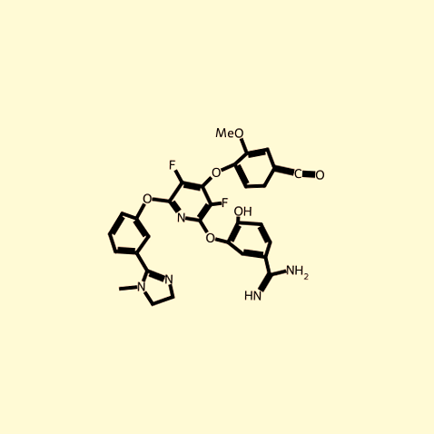 COC1=CC(=C=O)CC=C1Oc1c(F)c(Oc2cccc(C3=NCCN3C)c2)nc(Oc2cc(C(=N)N)ccc2O)c1F